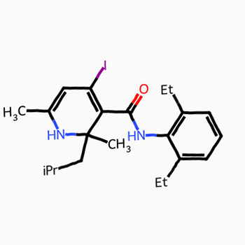 CCc1cccc(CC)c1NC(=O)C1=C(I)C=C(C)NC1(C)CC(C)C